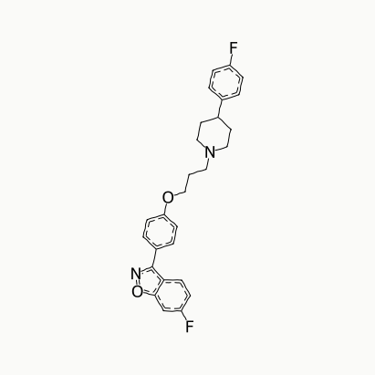 Fc1ccc(C2CCN(CCCOc3ccc(-c4noc5cc(F)ccc45)cc3)CC2)cc1